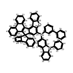 c1ccc(-c2cccc(N(c3ccc4c5ccccc5n(-c5ccccc5)c4c3)c3cc4c(c5c3oc3ccccc35)-c3c(c5ccccc5c5ccccc35)C43c4ccccc4-c4ccccc43)c2)cc1